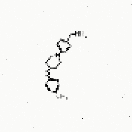 Cc1ccc(OC2CCN(c3ccc(CN)cc3)CC2)cc1